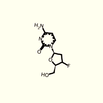 Nc1ccn([C@H]2CC(F)[C@@H](CO)O2)c(=O)n1